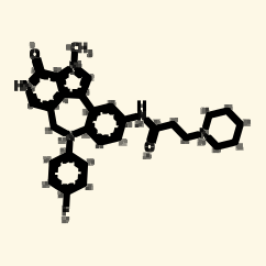 Cn1cc2c3c(c[nH]c(=O)c31)CN(c1ccc(F)cc1)c1ccc(NC(=O)CCN3CCCCC3)cc1-2